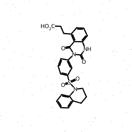 O=C(O)CCc1cccc2[nH]c(=O)n(-c3cccc(S(=O)(=O)N4CCCc5ccccc54)c3)c(=O)c12